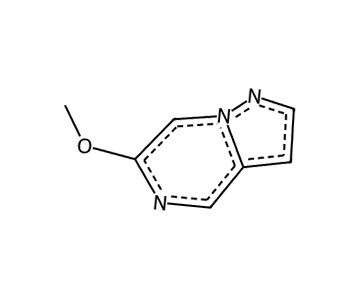 COc1cn2nccc2cn1